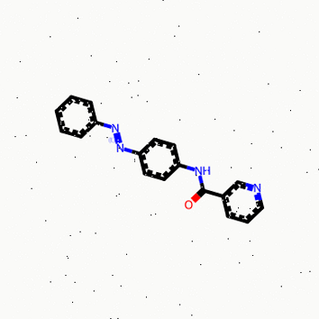 O=C(Nc1ccc(/N=N/c2ccccc2)cc1)c1cccnc1